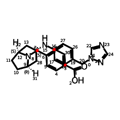 O=C(O)c1ccc(CN2[C@@H]3CC[C@H]2C[C@H](Nc2ccc(Cn4cncn4)cc2)C3)cc1